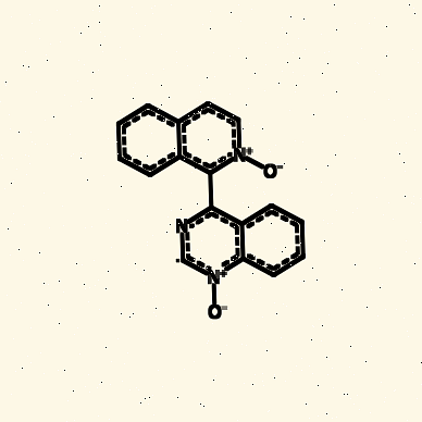 [O-][n+]1ccc2ccccc2c1-c1n[c][n+]([O-])c2ccccc12